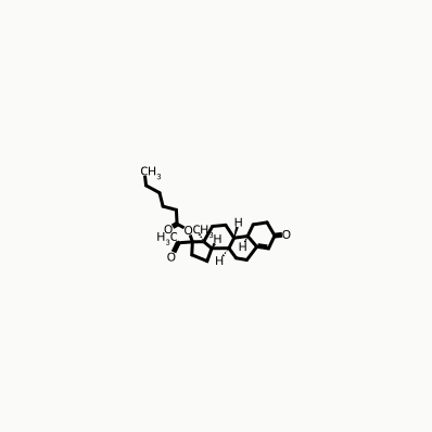 CCCCCC(=O)OC1(C(C)=O)CC[C@H]2[C@@H]3CCC4=CC(=O)CC[C@@H]4[C@H]3CC[C@@]21C